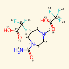 CN1CCCN(C(N)=O)CC1.O=C(O)C(F)(F)F.O=C(O)C(F)(F)F